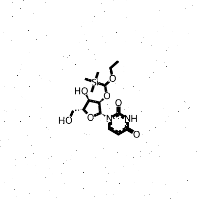 CCOC(O[C@@H]1[C@H](O)[C@@H](CO)O[C@H]1n1ccc(=O)[nH]c1=O)[Si](C)(C)C